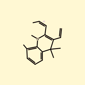 C=CC1=C(/C=C\C)N(C)c2c(C)cccc2C1(C)C